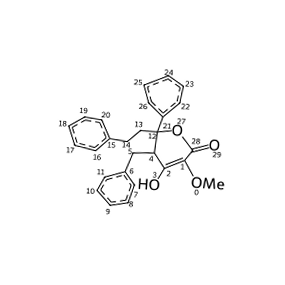 COC1=C(O)C(Cc2ccccc2)C(CCc2ccccc2)(c2ccccc2)OC1=O